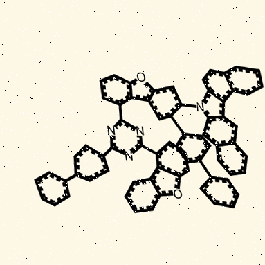 c1ccc(-c2ccc(-c3nc(-c4cccc5oc6ccccc6c45)nc(-c4cccc5oc6cc(-n7c8cc9ccccc9cc8c8c9ccccc9ccc87)c(-c7ccc(-c8ccccc8)cc7)cc6c45)n3)cc2)cc1